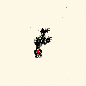 COc1ccc(CN(Cc2ccc(OC)cc2)c2cc(C)c(C(F)(F)F)c(-c3c(F)c(OC)c4c(N5CCCC(F)(F)C5)nc(OC[C@@]56CCCN5C[C@H](F)C6)nc4c3F)n2)cc1